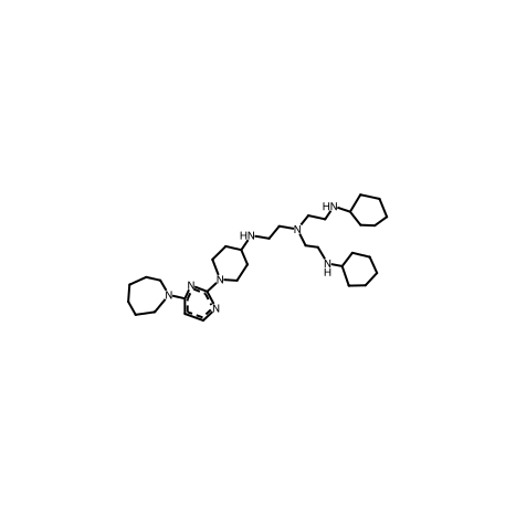 c1cc(N2CCCCCC2)nc(N2CCC(NCCN(CCNC3CCCCC3)CCNC3CCCCC3)CC2)n1